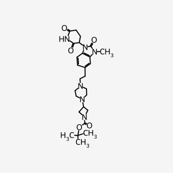 Cn1c(=O)n(C2CCC(=O)NC2=O)c2ccc(CCN3CCN(C4CN(C(=O)OC(C)(C)C)C4)CC3)cc21